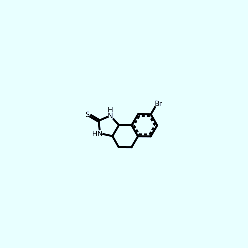 S=C1NC2CCc3ccc(Br)cc3C2N1